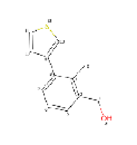 Cc1c(CO)cccc1-c1ccsc1